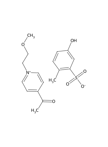 COCC[n+]1ccc(C(C)=O)cc1.Cc1ccc(O)cc1S(=O)(=O)[O-]